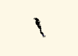 Cc1ccc(-c2ccc(-c3ccc(CCC4CCC(/C=C/Br)CC4)cc3F)cc2F)cc1F